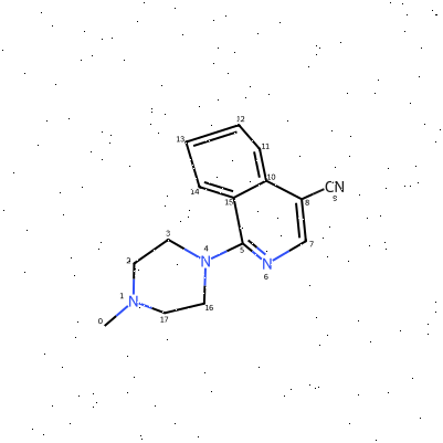 CN1CCN(c2ncc(C#N)c3ccccc23)CC1